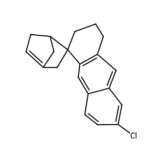 Clc1ccc2cc3c(cc2c1)CCCC31CC2=CCC1C2